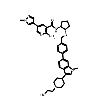 Cn1cc(-c2cnc(N)c(C(=O)N[C@H]3CCC[C@@H]3OCc3ccc(-c4ccc5c(C6CCN(CCO)CC6)cn(C)c5c4)cc3)c2)cn1